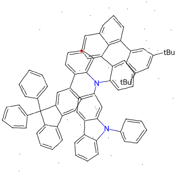 CC(C)(C)c1cc(-c2cccc3cccc(-c4ccccc4N(c4ccc5c6ccccc6n(-c6ccccc6)c5c4)c4ccccc4-c4ccc5c(c4)C(c4ccccc4)(c4ccccc4)c4ccccc4-5)c23)cc(C(C)(C)C)c1